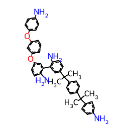 CC(C)(c1ccc(N)cc1)c1ccc(C(C)(C)c2ccc(N)c(-c3cc(Oc4cccc(Oc5ccc(N)cc5)c4)ccc3N)c2)cc1